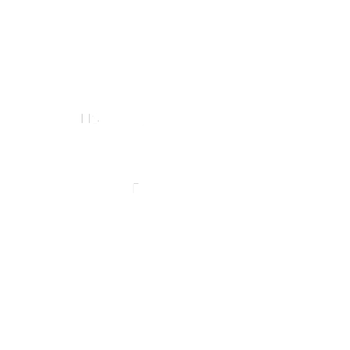 Fc1c(S)cccc1-c1ccccc1